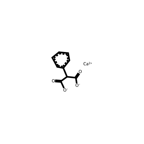 O=C([O-])C(C(=O)[O-])c1ccccc1.[Ca+2]